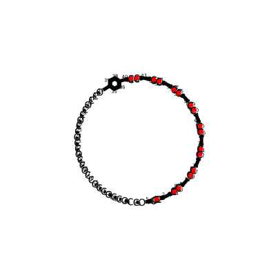 c1cc2ccc1OCCOCCOCCOCCOCCOCCOCCOCCOCCOc1ccc(cc1)-c1ccc(cc1)-c1ccc(cc1)-c1ccc(cc1)-c1ccc(cc1)-c1ccc(cc1)-c1ccc(cc1)-c1ccc(cc1)-c1ccc-2cc1